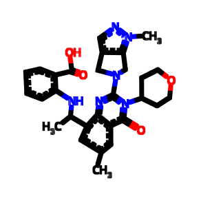 Cc1cc(C(C)Nc2ccccc2C(=O)O)c2nc(N3Cc4cnn(C)c4C3)n(C3CCOCC3)c(=O)c2c1